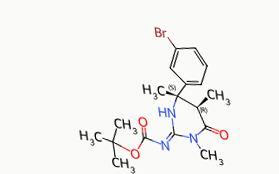 C[C@H]1C(=O)N(C)C(=NC(=O)OC(C)(C)C)N[C@]1(C)c1cccc(Br)c1